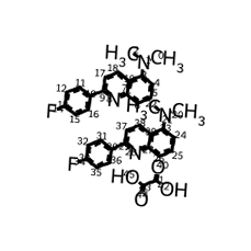 CN(C)c1cccc2nc(-c3ccc(F)cc3)ccc12.CN(C)c1cccc2nc(-c3ccc(F)cc3)ccc12.O=C(O)C(=O)O